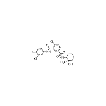 CC1(O)CCCCC1NS(=O)(=O)c1ccc(Cl)c(C(=O)Nc2ccc(F)c(Cl)c2)c1